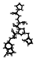 Cn1nccc1C[C@H]1C[C@@H](C(=O)NCc2ccc3c(c2)nnn3C)N(C(=O)[C@H](N)CCC(=O)N2CCCC2)C1